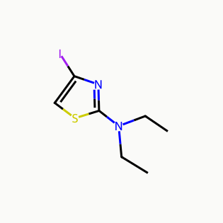 CCN(CC)c1nc(I)cs1